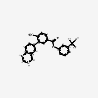 Cc1ccc(C(=O)Nc2cccc(C(F)(F)F)c2)cc1-c1ccc2ncncc2c1